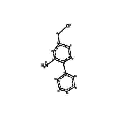 Nc1cc(CCl)ccc1-c1ccccc1